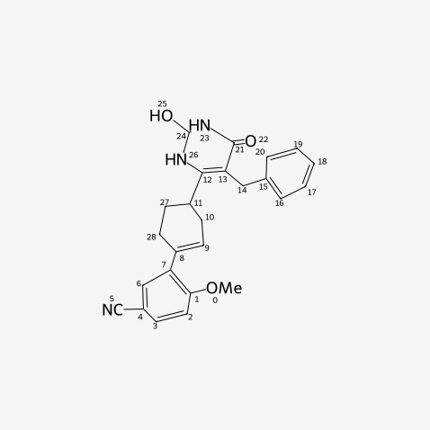 COc1ccc(C#N)cc1C1=CCC(C2=C(Cc3ccccc3)C(=O)NC(O)N2)CC1